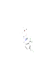 CC(C)(C)OC1CN(Cc2ccc(Br)cc2C(F)(F)F)C1